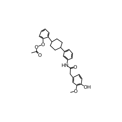 COc1cc(CC(=O)Nc2cccc(C3CCC(c4ccccc4OOC(C)=O)CC3)c2)ccc1O